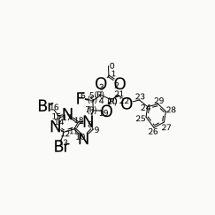 CC(=O)O[C@H]1[C@H](F)[C@H](n2cnc3c(Br)nc(Br)nc32)O[C@@H]1COCc1ccccc1